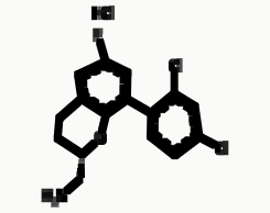 Cl.NC[C@@H]1CCc2cc(F)cc(-c3ccc(Cl)cc3Cl)c2O1